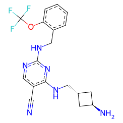 N#Cc1cnc(NCc2ccccc2OC(F)(F)F)nc1NC[C@H]1C[C@H](N)C1